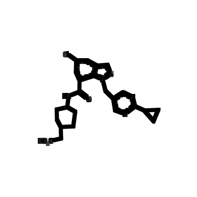 O=C(O)CC1CCC(NC(=O)c2cc(Cl)cc3cnn(Cc4cnc(C5CC5)nc4)c23)CC1